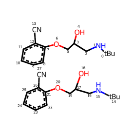 CC(C)(C)NCC(O)COc1ccccc1C#N.CC(C)(C)NCC(O)COc1ccccc1C#N